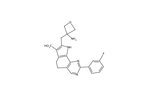 NC1(Cc2[nH]c3c(c2C(=O)O)CCc2cnc(-c4cccc(F)c4)nc2-3)COC1